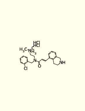 CN(C)CCN(Cc1ccccc1Cl)C(=O)/C=C/c1cccc2c1CCNC2.Cl.Cl